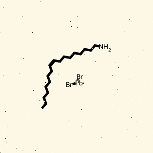 CCCCCCCC/C=C\CCCCCCCCN.[Br][Pb][Br]